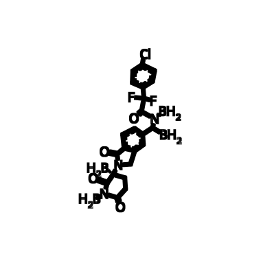 BC(c1ccc2c(c1)CN([C@@]1(B)CCC(=O)N(B)C1=O)C2=O)N(B)C(=O)C(F)(F)c1ccc(Cl)cc1